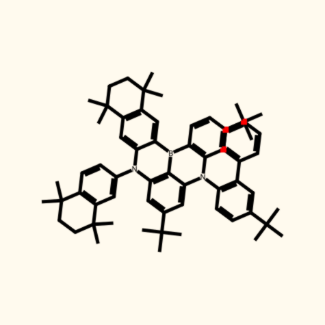 CC(C)(C)c1ccc(N2c3cc(C(C)(C)C)ccc3B3c4cc5c(cc4N(c4ccc6c(c4)C(C)(C)CCC6(C)C)c4cc(C(C)(C)C)cc2c43)C(C)(C)CCC5(C)C)c(-c2ccccc2)c1